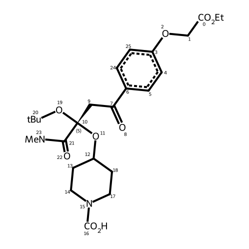 CCOC(=O)COc1ccc(C(=O)C[C@](OC2CCN(C(=O)O)CC2)(OC(C)(C)C)C(=O)NC)cc1